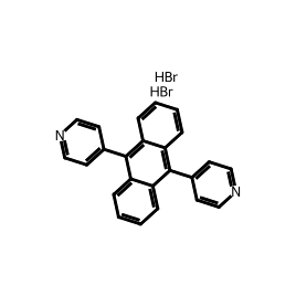 Br.Br.c1ccc2c(-c3ccncc3)c3ccccc3c(-c3ccncc3)c2c1